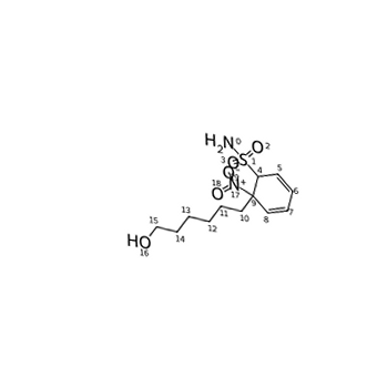 NS(=O)(=O)C1C=CC=CC1(CCCCCCO)[N+](=O)[O-]